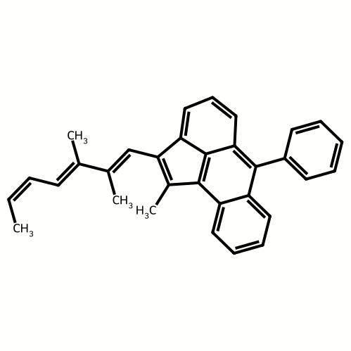 C\C=C/C=C(C)/C(C)=C/C1=C(C)c2c3ccccc3c(-c3ccccc3)c3cccc1c23